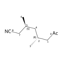 CC(=O)C[C@H](C)C[C@H](C)CC#N